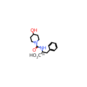 O=C(O)[C@H](Cc1ccccc1)NC(=O)N1CCC(O)CC1